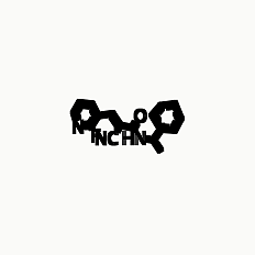 CC(NC(=O)/C(C#N)=C/c1cccnc1F)c1ccccc1